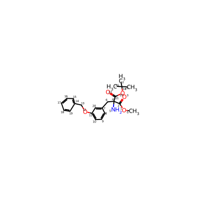 COC(=O)C(N)(Cc1cccc(OCc2ccccc2)c1)C(=O)OC(C)(C)C